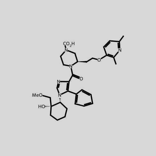 COC[C@]1(O)CCCC[C@H]1n1cnc(C(=O)N2CCN(C(=O)O)C[C@H]2CCOc2ccc(C)nc2C)c1-c1ccccc1